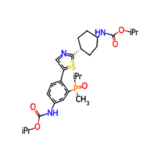 CC(C)OC(=O)Nc1ccc(-c2cnc([C@H]3CC[C@H](NC(=O)OC(C)C)CC3)s2)c(P(C)(=O)C(C)C)c1